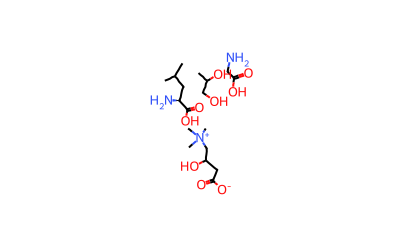 CC(C)C[C@H](N)C(=O)O.CC(O)CO.C[N+](C)(C)CC(O)CC(=O)[O-].NCC(=O)O